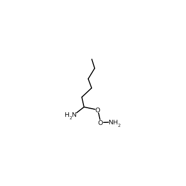 CCCCCC(N)OON